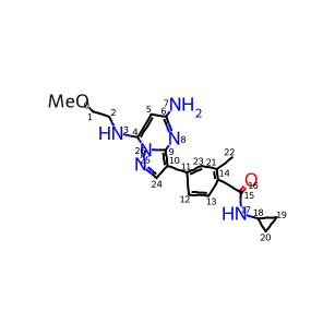 COCCNc1cc(N)nc2c(-c3ccc(C(=O)NC4CC4)c(C)c3)cnn12